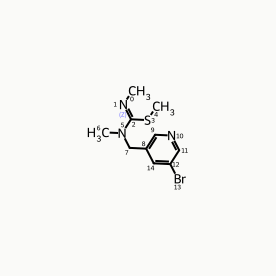 C/N=C(\SC)N(C)Cc1cncc(Br)c1